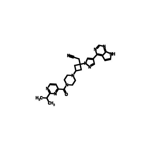 CC(C)c1nccc(C(=O)N2CCN(C3CC(CC#N)(n4cc(-c5ncnc6[nH]ccc56)cn4)C3)CC2)n1